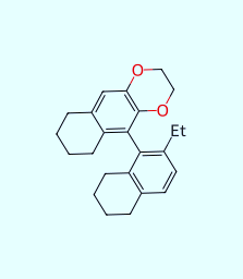 CCc1ccc2c(c1-c1c3c(cc4c1OCCO4)CCCC3)CCCC2